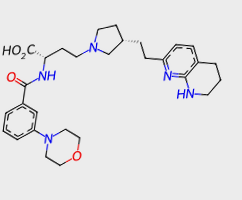 O=C(N[C@@H](CCN1CC[C@H](CCc2ccc3c(n2)NCCC3)C1)C(=O)O)c1cccc(N2CCOCC2)c1